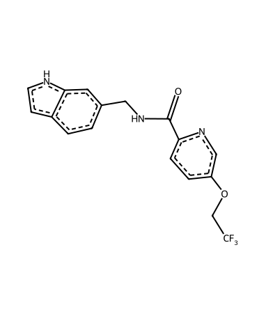 O=C(NCc1ccc2cc[nH]c2c1)c1ccc(OCC(F)(F)F)cn1